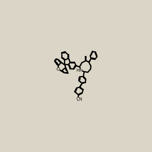 C=C1CC(c2ccc3c(c2)-c2ccccc2C32c3ccccc3Oc3ccccc32)NC(c2ccc(-c3ccc(C#N)cc3)cc2)CCCC1c1ccccc1